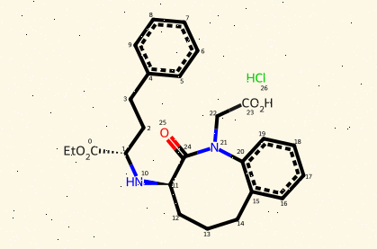 CCOC(=O)[C@H](CCc1ccccc1)N[C@@H]1CCCc2ccccc2N(CC(=O)O)C1=O.Cl